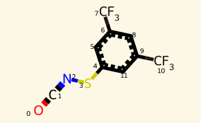 O=C=NSc1cc(C(F)(F)F)cc(C(F)(F)F)c1